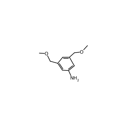 COCc1cc(N)cc(COC)c1